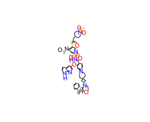 CC(C)c1ccccc1[C@H]1COCCN1C1CC2(CCN(c3ccc(C(=O)NS(=O)(=O)c4cc([N+](=O)[O-])c5c(n4)OC[C@H](CC4CCN(S(C)(=O)=O)CC4)S5)c(Oc4cnc5[nH]ccc5c4)c3)CC2)C1